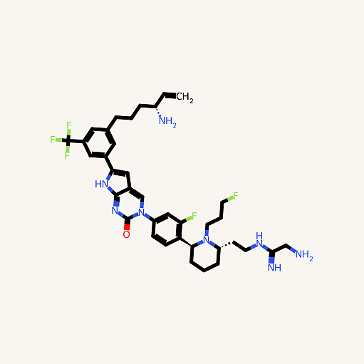 C=C[C@H](N)CCCc1cc(-c2cc3cn(-c4ccc([C@@H]5CCC[C@@H](CCNC(=N)CN)N5CCCF)c(F)c4)c(=O)nc3[nH]2)cc(C(F)(F)F)c1